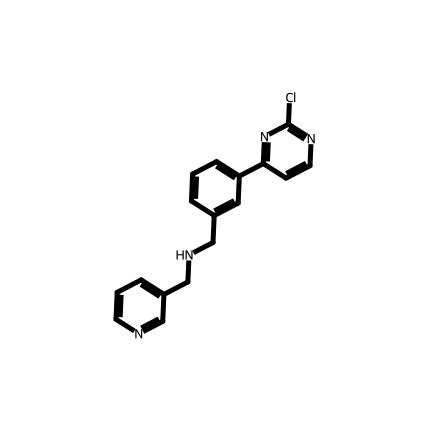 Clc1nccc(-c2cccc(CNCc3cccnc3)c2)n1